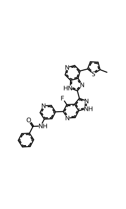 Cc1ccc(-c2cncc3[nH]c(-c4n[nH]c5cnc(-c6cncc(NC(=O)c7ccccc7)c6)c(F)c45)nc23)s1